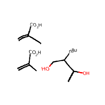 C=C(C)C(=O)O.C=C(C)C(=O)O.CCCCC(CO)C(C)O